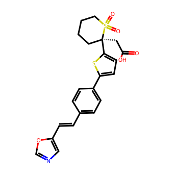 O=C(O)C[C@]1(c2ccc(-c3ccc(C=Cc4cnco4)cc3)s2)CCCCS1(=O)=O